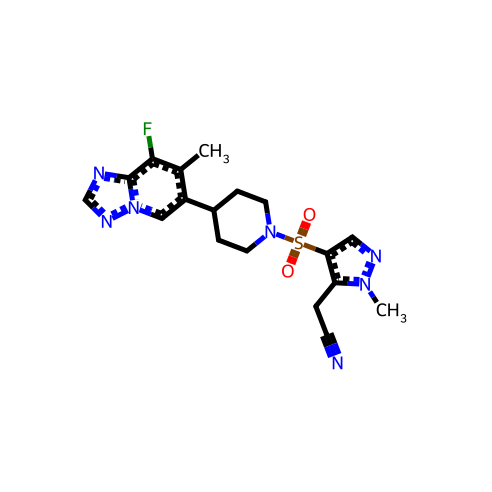 Cc1c(C2CCN(S(=O)(=O)c3cnn(C)c3CC#N)CC2)cn2ncnc2c1F